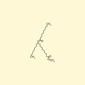 CCCCCCCCCC(=O)OC(CCCCCCCC)CCCCCCCCC(=O)OC